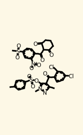 CS(=O)(=O)c1ccc(C(=O)C2C(=O)CCCC2=O)c([N+](=O)[O-])c1.Cc1ccc(S(=O)(=O)Oc2c(C(=O)c3ccc(Cl)cc3Cl)c(C)nn2C)cc1